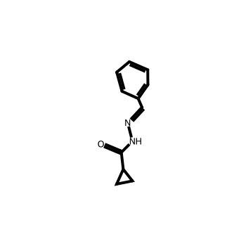 O=C(N/N=C/c1ccccc1)C1CC1